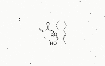 C=C(CC)C(=O)O.CC(=CC1CCCCC1)C(=O)O